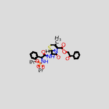 CC1=C(C(=O)OCC(=O)c2ccccc2)N2C(=O)C(NC(=O)C(NP(=O)(OC(C)C)OC(C)C)c3ccccc3)[C@@H]2SC1